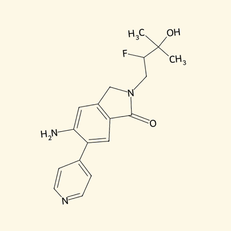 CC(C)(O)C(F)CN1Cc2cc(N)c(-c3ccncc3)cc2C1=O